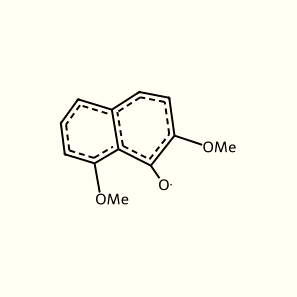 COc1ccc2cccc(OC)c2c1[O]